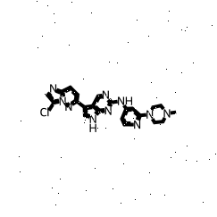 CN1CCN(c2cc(Nc3ncc4c(-c5ccc6ncc(Cl)n6n5)c[nH]c4n3)ccn2)CC1